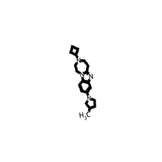 CC1CCN(c2ccc3c(c2)nc2n3CCN(C3CCC3)CC2)C1